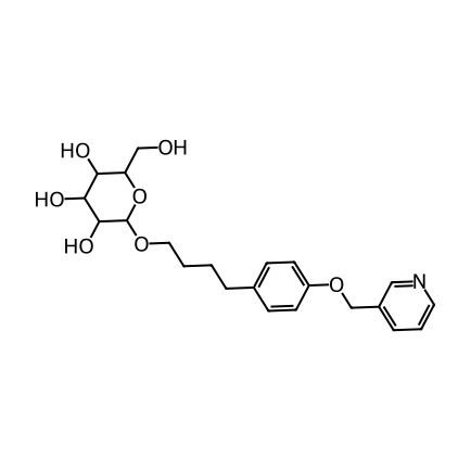 OCC1OC(OCCCCc2ccc(OCc3cccnc3)cc2)C(O)C(O)C1O